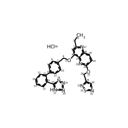 CCc1cc(OCc2ccc(-c3ccccc3-c3nnn[nH]3)cc2)c2nc(OCc3cnsn3)ccc2n1.Cl